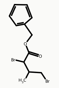 CC(CBr)C(Br)C(=O)OCc1ccccc1